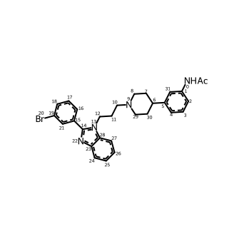 CC(=O)Nc1cccc(C2CCN(CCCn3c(-c4cccc(Br)c4)nc4ccccc43)CC2)c1